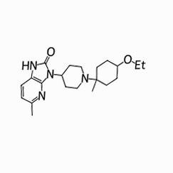 CCOC1CCC(C)(N2CCC(n3c(=O)[nH]c4ccc(C)nc43)CC2)CC1